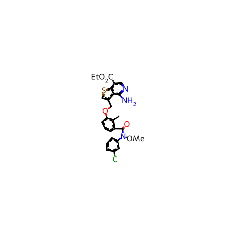 CCOC(=O)c1cnc(N)c2c(COc3cccc(C(=O)N(OC)c4cccc(Cl)c4)c3C)csc12